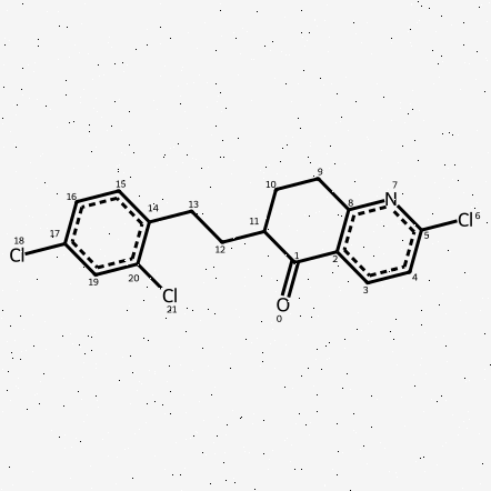 O=C1c2ccc(Cl)nc2CCC1CCc1ccc(Cl)cc1Cl